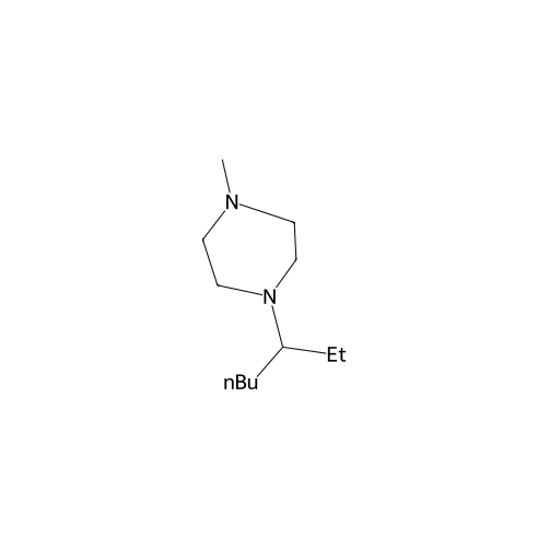 CC[CH]CC(CC)N1CCN(C)CC1